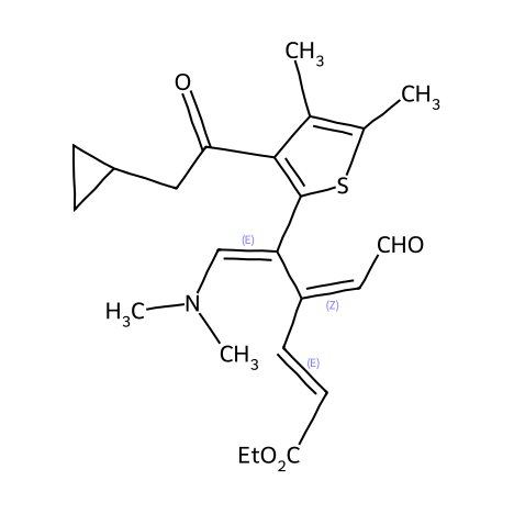 CCOC(=O)/C=C/C(=C/C=O)C(=C\N(C)C)/c1sc(C)c(C)c1C(=O)CC1CC1